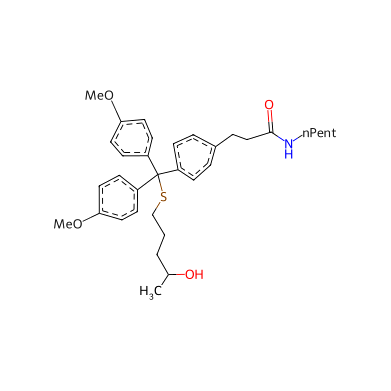 CCCCCNC(=O)CCc1ccc(C(SCCCC(C)O)(c2ccc(OC)cc2)c2ccc(OC)cc2)cc1